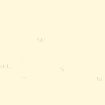 CCCc1cc(C2CCNCC2)nc2sc(OC(N)=O)c(N)c12